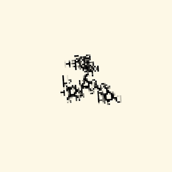 Cc1cc(Cl)ccc1NC(=O)C1OC2C(COP(=O)(O)OP(=O)(O)OP(=O)(O)O)OC(n3cnc4c(=S)[nH]c(N)nc43)C2O1